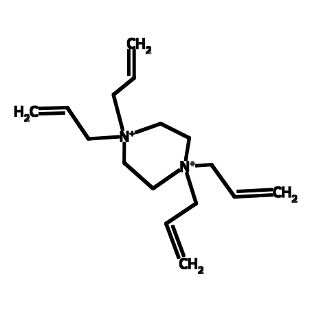 C=CC[N+]1(CC=C)CC[N+](CC=C)(CC=C)CC1